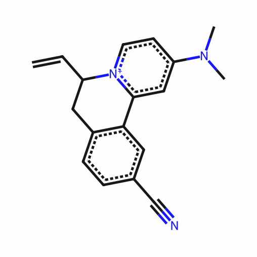 C=CC1Cc2ccc(C#N)cc2-c2cc(N(C)C)cc[n+]21